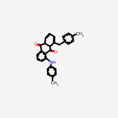 Cc1ccc(CC2=CC=CC3C(=O)c4cccc(Nc5ccc(C)cc5)c4C(=O)C23)cc1